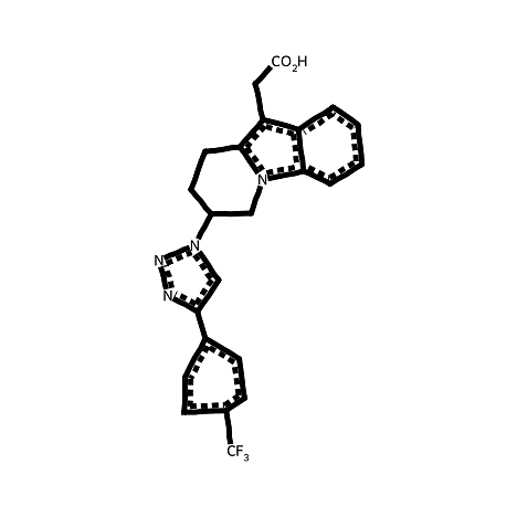 O=C(O)Cc1c2n(c3ccccc13)CC(n1cc(-c3ccc(C(F)(F)F)cc3)nn1)CC2